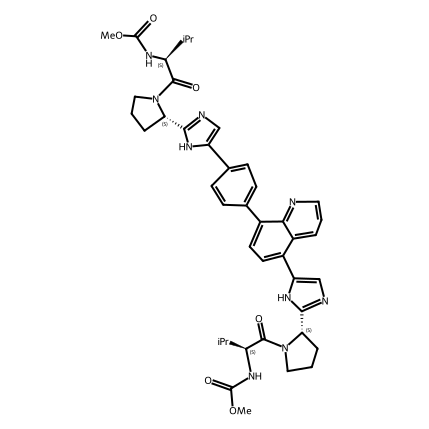 COC(=O)N[C@H](C(=O)N1CCC[C@H]1c1ncc(-c2ccc(-c3ccc(-c4cnc([C@@H]5CCCN5C(=O)[C@@H](NC(=O)OC)C(C)C)[nH]4)c4cccnc34)cc2)[nH]1)C(C)C